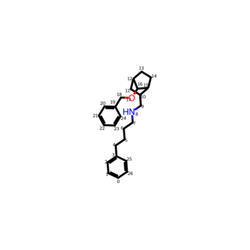 c1ccc(CCCCNCC2CC3CCC2C3OCc2ccccc2)cc1